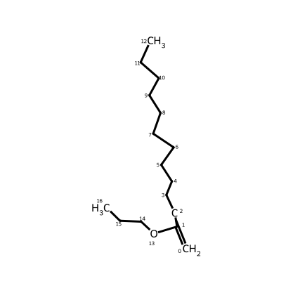 C=C(CCCCCCCCCCC)OCCC